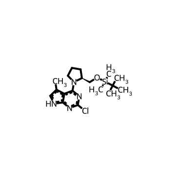 Cc1c[nH]c2nc(Cl)nc(N3CCC[C@H]3CO[Si](C)(C)C(C)(C)C)c12